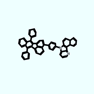 C1=CC2C=Cc3c(c4ncccc4n3-c3ccc(-c4ccc5c6c(cccc46)-c4c-5c(-c5ccccc5)c5ccccc5c4-c4ccccc4)cc3)C2C=C1